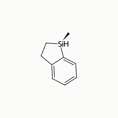 C[Si@@H]1CCc2ccccc21